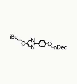 CCCCCCCCCCCOc1ccc(-c2ncc(OCCC(C)CC)cn2)cc1